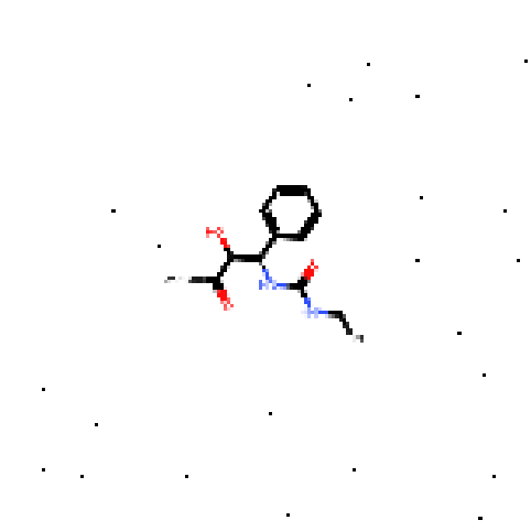 COC(=O)C(O)[C@H](NC(=O)NCC(C)C)c1ccccc1